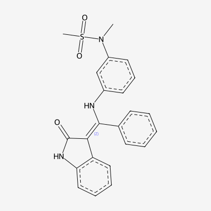 CN(c1cccc(N/C(=C2\C(=O)Nc3ccccc32)c2ccccc2)c1)S(C)(=O)=O